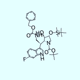 CC(C)(C)OC(=O)N1C[C@@H](O[Si](C)(C)C(C)(C)C)[C@H](O)[C@H]1[C@H](CNC(=O)OCc1ccccc1)c1c[nH]c2cc(F)ccc12